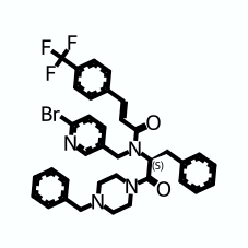 O=C([C@H](Cc1ccccc1)N(Cc1ccc(Br)nc1)C(=O)C=Cc1ccc(C(F)(F)F)cc1)N1CCN(Cc2ccccc2)CC1